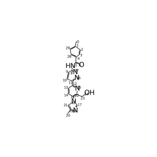 Cc1ccc(C(=O)Nc2ccc(-c3ccc(-n4cnc(C)c4)c(CO)n3)nn2)cc1